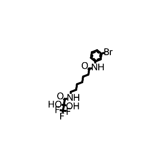 O=C(CCCCCCNC(=O)C(O)(O)C(F)(F)F)Nc1cccc(Br)c1